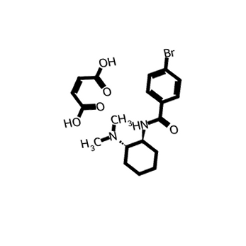 CN(C)[C@H]1CCCC[C@@H]1NC(=O)c1ccc(Br)cc1.O=C(O)/C=C\C(=O)O